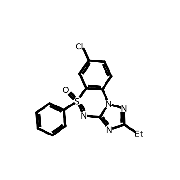 CCc1nc2n(n1)-c1ccc(Cl)cc1S(=O)(c1ccccc1)=N2